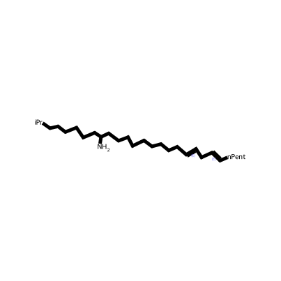 CCCCC/C=C/C/C=C/CCCCCCCCCC(N)CCCCCCC(C)C